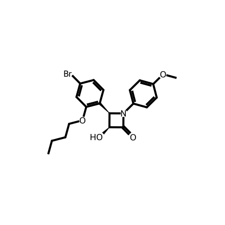 CCCCOc1cc(Br)ccc1[C@@H]1[C@H](O)C(=O)N1c1ccc(OC)cc1